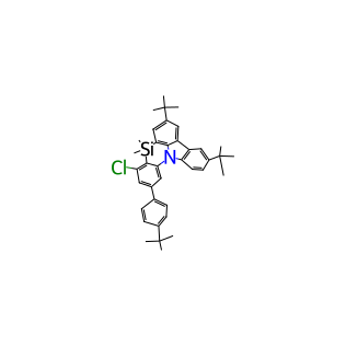 CC(C)(C)c1ccc(-c2cc(Cl)c3c(c2)-n2c4ccc(C(C)(C)C)cc4c4cc(C(C)(C)C)cc(c42)[Si]3(C)C)cc1